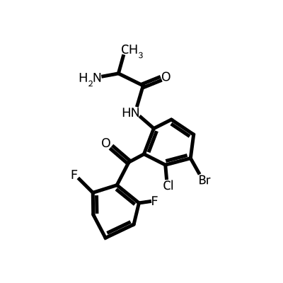 CC(N)C(=O)Nc1ccc(Br)c(Cl)c1C(=O)c1c(F)cccc1F